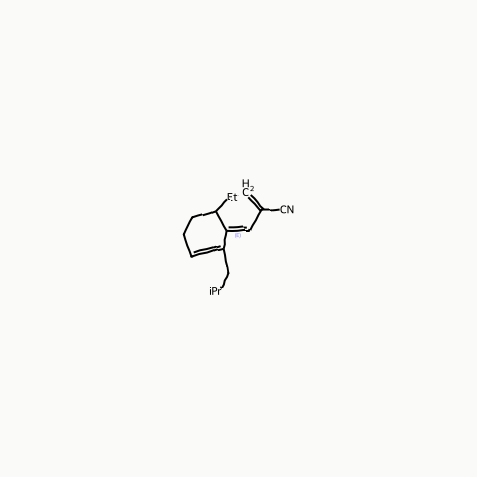 C=C(C#N)/C=C1/C(CC(C)C)=CCCC1CC